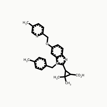 Cc1ccc(Cn2c(C3C(C(=O)O)C3(C)C)nc3ccc(OCc4ccc(C)cn4)cc32)cc1